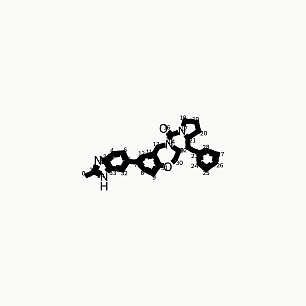 Cc1nc2ccc(-c3ccc4c(c3)CN(C(=O)N3CCCC3Cc3ccccc3)CCO4)cc2[nH]1